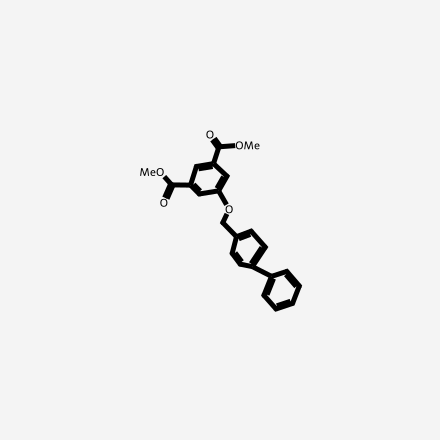 COC(=O)c1cc(OCc2ccc(-c3ccccc3)cc2)cc(C(=O)OC)c1